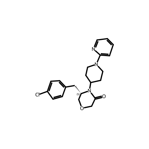 O=C1COC[C@H](Cc2ccc(Cl)cc2)N1C1CCN(c2ccccn2)CC1